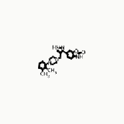 Cc1cccc(N2CCN(Cc3c[nH]nc3-c3ccc4[nH]c(=O)oc4c3)CC2)c1C